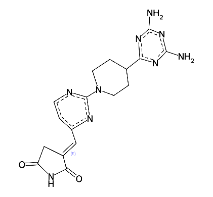 Nc1nc(N)nc(C2CCN(c3nccc(/C=C4\CC(=O)NC4=O)n3)CC2)n1